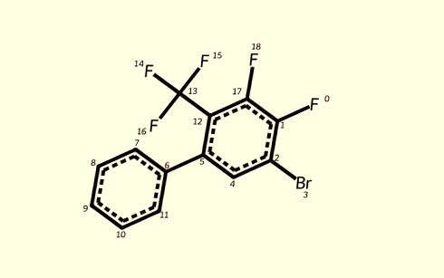 Fc1c(Br)cc(-c2ccccc2)c(C(F)(F)F)c1F